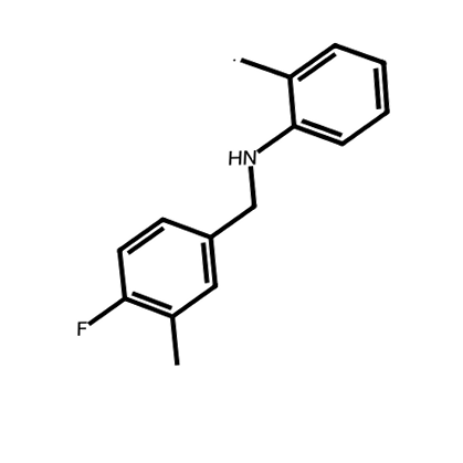 [CH2]c1ccccc1NCc1ccc(F)c(C)c1